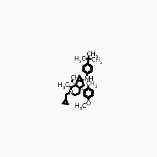 CC[C@]12C3C[C@@]3(Nc3ccc(C(C)(C)C)cc3)C[C@@]1(c1cc(OC)ccc1C)CCN(CC1CC1)[C@@H]2C